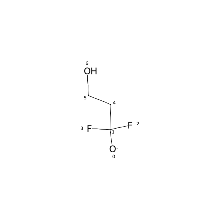 [O]C(F)(F)CCO